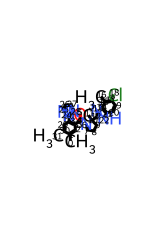 Cc1cc(C(=O)N2CCCC2(C)c2nc3c(C)c(Cl)ccc3[nH]2)c(-n2nccn2)cc1C